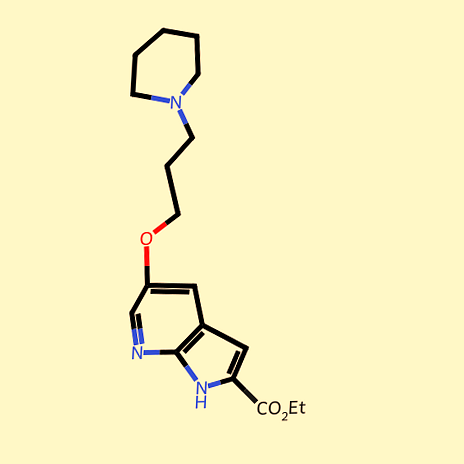 CCOC(=O)c1cc2cc(OCCCN3CCCCC3)cnc2[nH]1